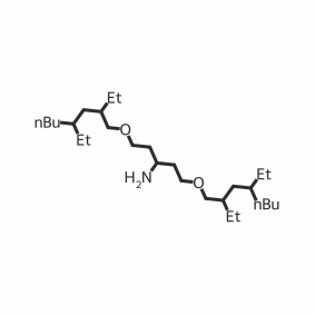 CCCCC(CC)CC(CC)COCCC(N)CCOCC(CC)CC(CC)CCCC